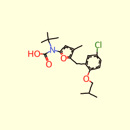 Cc1cc(N(C(=O)O)C(C)(C)C)oc1Cc1cc(Cl)ccc1OCC(C)C